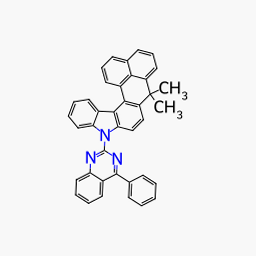 CC1(C)c2ccc3c(c2-c2cccc4cccc1c24)c1ccccc1n3-c1nc(-c2ccccc2)c2ccccc2n1